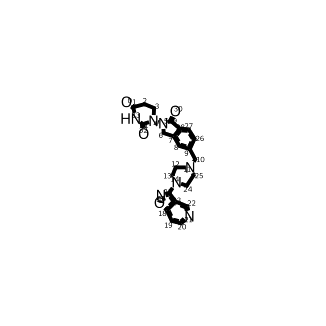 O=C1CCN(N2Cc3cc(CN4CCN(c5noc6ccncc56)CC4)ccc3C2=O)C(=O)N1